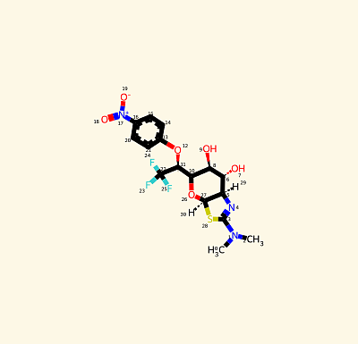 CN(C)C1=N[C@@H]2[C@@H](O)[C@H](O)C([C@H](Oc3ccc([N+](=O)[O-])cc3)C(F)(F)F)O[C@@H]2S1